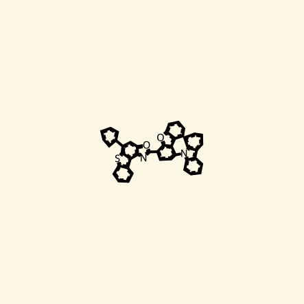 c1ccc(-c2cc3oc(-c4ccc(-n5c6ccccc6c6ccccc65)c5c4oc4ccccc45)nc3c3c2sc2ccccc23)cc1